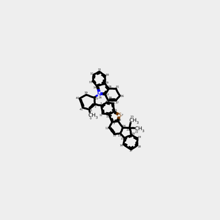 CC1=C(c2ccc3sc4c(c3c2)C=CC2c3ccccc3C(C)(C)C42)C(n2c3c(c4ccccc42)CCC=C3)CC=C1